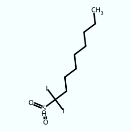 CCCCCCCCC(I)(I)[SH](=O)=O